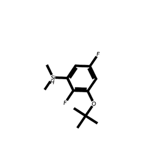 C[SiH](C)c1cc(F)cc(OC(C)(C)C)c1F